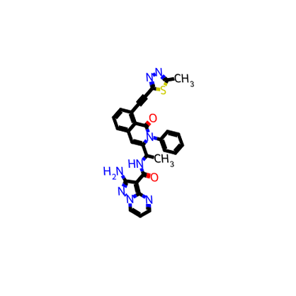 Cc1nnc(C#Cc2cccc3cc(C(C)NC(=O)c4c(N)nn5cccnc45)n(-c4ccccc4)c(=O)c23)s1